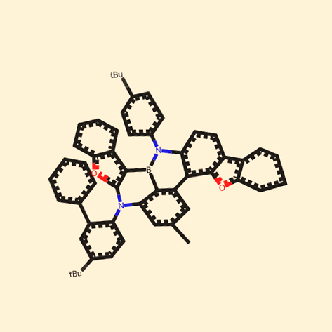 Cc1cc2c3c(c1)N(c1ccc(C(C)(C)C)cc1-c1ccccc1)c1oc4ccccc4c1B3N(c1ccc(C(C)(C)C)cc1)c1ccc3c(oc4ccccc43)c1-2